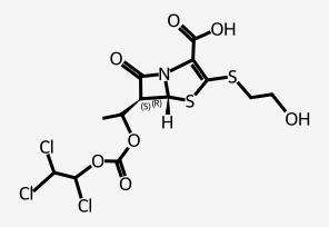 CC(OC(=O)OC(Cl)C(Cl)Cl)[C@H]1C(=O)N2C(C(=O)O)=C(SCCO)S[C@H]12